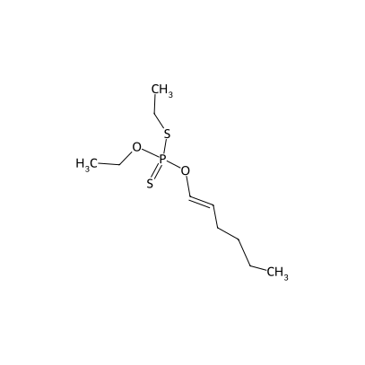 CCCCC=COP(=S)(OCC)SCC